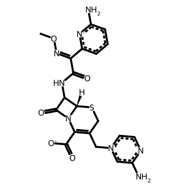 CON=C(C(=O)NC1C(=O)N2C(C(=O)[O-])=C(C[n+]3ccnc(N)c3)CS[C@@H]12)c1cccc(N)n1